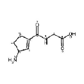 NC1C=C(C(=O)NCC(=O)O)SC1